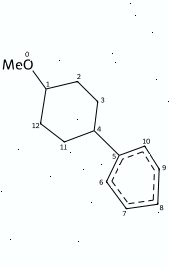 COC1CCC(c2ccccc2)CC1